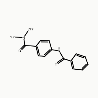 CCCN(CCC)C(=O)c1ccc(NC(=O)c2ccccc2)cc1